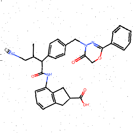 [C-]#[N+]CC(C)C(C(=O)Nc1cccc2c1CC(C(=O)O)C2)c1ccc(CN2N=C(c3ccccc3)OCC2=O)cc1